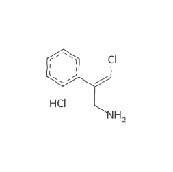 Cl.NC/C(=C/Cl)c1ccccc1